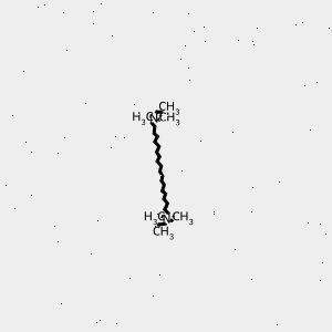 CCC[N+](C)(CC)CCCCCCCCCCCCCCCCCCCC[N+](C)(CC)CCC